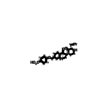 CC(C)C[C@@H]1NCCN([C@@H](CC(C)C)C(=O)N2CCC(COc3ccc(C(=O)O)cc3)CC2)C1=O